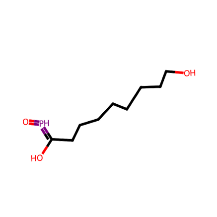 O=[PH]=C(O)CCCCCCCCO